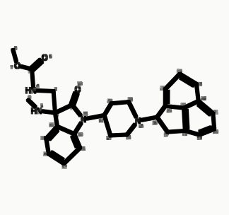 CNC1(CNC(=O)OC)C(=O)N(C2CCN(C3Cc4cccc5cccc3c45)CC2)c2ccccc21